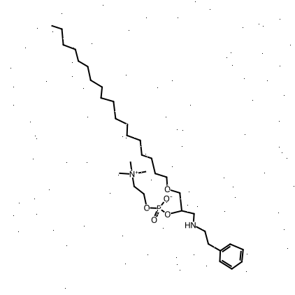 CCCCCCCCCCCCCCCCCCOCC(CNCCc1ccccc1)OP(=O)([O-])OCC[N+](C)(C)C